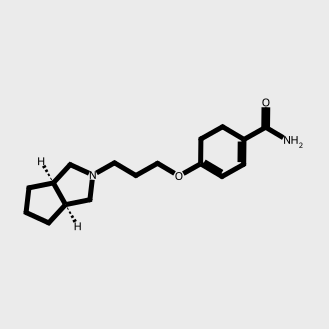 NC(=O)C1=CC=C(OCCCN2C[C@H]3CCC[C@H]3C2)CC1